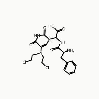 N[C@@H](Cc1ccccc1)C(=O)NC(C(=O)O)n1cc(N(CCCl)CCCl)c(=O)[nH]c1=O